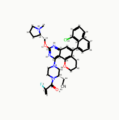 C=C(F)C(=O)N1CCN(c2nc(OC[C@@H]3CCCN3C)nc3cc(-c4cccc5cccc(Cl)c45)c4c(c23)OCCC4)C[C@@H]1CC#N